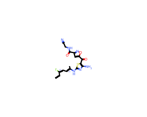 C=C/C(F)=C\C=C(/C)Nc1nc(N)c(C(=O)c2cc(C(=O)NCC#N)no2)s1